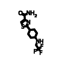 NC(=O)c1csc(C2CCC(NCC(F)(F)F)CC2)n1